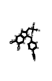 N#Cc1ccc(Cn2c(CC(F)(F)F)nc3cc(Cl)c(Cl)cc32)cc1